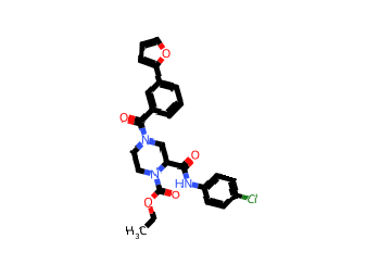 CCOC(=O)N1CCN(C(=O)c2cccc(-c3ccco3)c2)CC1C(=O)Nc1ccc(Cl)cc1